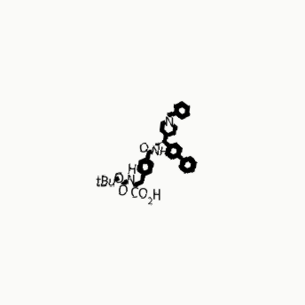 CC(C)(C)OC(=O)NC(Cc1ccc(C(=O)NC[C@@H](c2ccc(-c3ccccc3)cc2)C2CCN(Cc3ccccc3)CC2)cc1)C(=O)O